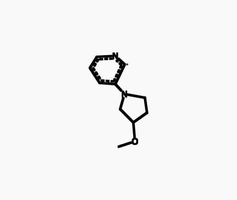 COC1CCN(c2[c]nccc2)C1